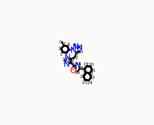 Cc1ccc2c(c1)-n1nncc1Cc1c(C3=N[C@@H](c4cccc5ccccc45)CO3)ncn1-2